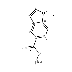 CCCCOC(=O)c1cc2ccoc2cn1